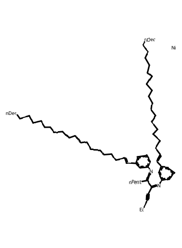 CCC#CC(=Nc1cccc(C=CCCCCCCCCCCCCCCCCCCCCCCCCCCC)c1)C(CCCCC)=Nc1cccc(C=CCCCCCCCCCCCCCCCCCCCCCCCCCCC)c1.[Ni]